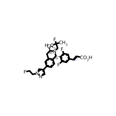 C[C@@H]1Cc2cc(-c3cnn(CCF)c3)ccc2[C@@H](c2c(F)cc(/C=C/C(=O)O)cc2F)N1CC(C)(C)F